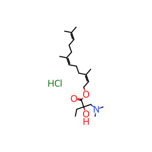 CCC(O)(CN(C)C)C(=O)OCC=C(C)CCC=C(C)CCC=C(C)C.Cl